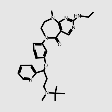 CCNc1ncc2c(n1)N(C)CCN(c1cccc(OC(CCN(C)C(C)(C)C)c3ccccn3)c1)C2=O